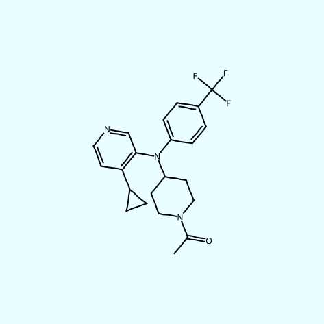 CC(=O)N1CCC(N(c2ccc(C(F)(F)F)cc2)c2cnccc2C2CC2)CC1